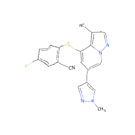 Cn1cc(-c2cc(Sc3ccc(F)cc3C#N)c3c(C#N)cnn3c2)cn1